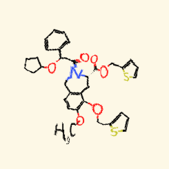 COc1ccc2c(c1OCc1cccs1)C[C@@H](C(=O)OCc1cccs1)N(C(=O)[C@@H](OC1CCCC1)c1ccccc1)C2